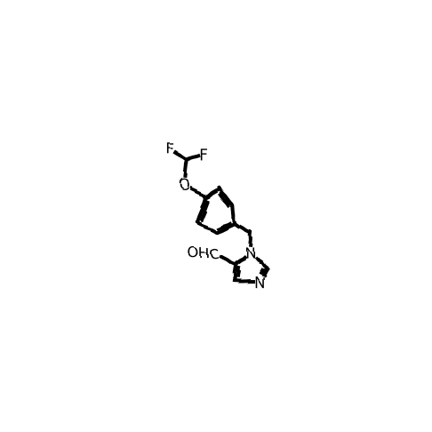 O=Cc1cncn1Cc1ccc(OC(F)F)cc1